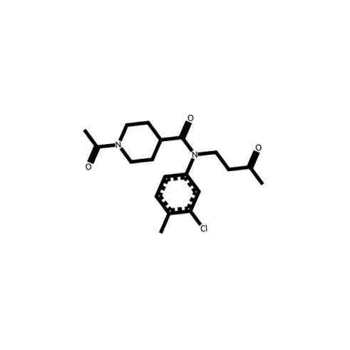 CC(=O)CCN(C(=O)C1CCN(C(C)=O)CC1)c1ccc(C)c(Cl)c1